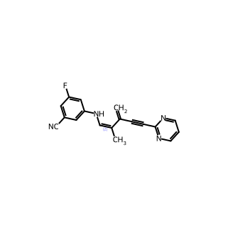 C=C(C#Cc1ncccn1)/C(C)=C\Nc1cc(F)cc(C#N)c1